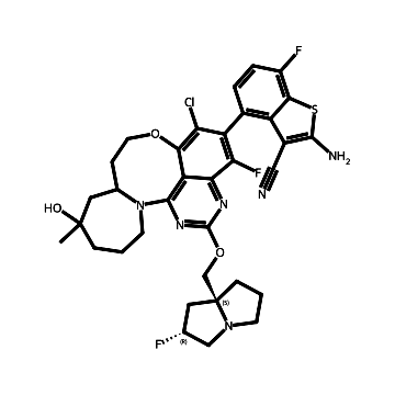 CC1(O)CCCN2c3nc(OC[C@@]45CCCN4C[C@H](F)C5)nc4c(F)c(-c5ccc(F)c6sc(N)c(C#N)c56)c(Cl)c(c34)OCCC2C1